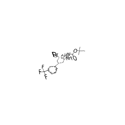 CC(C)(C)OC(=O)NNC(=O)CC(CCBr)c1cccc(C(F)(F)F)c1